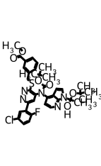 COC(=O)c1cccc(CSc2nnc(-c3cc(Cl)ccc3F)cc2N(C(=O)OC(C)(C)C)c2ccnc3c2ccn3C(C)(O)OC(C)(C)C)c1